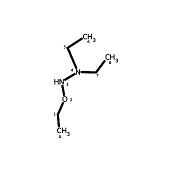 CCONN(CC)CC